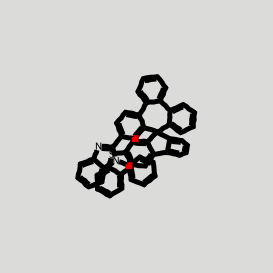 c1ccc(-n2c(-c3ccc4c(c3)C3(c5ccccc5-c5ccccc5-4)c4ccccc4-c4cc5c(cc43)sc3ccccc35)nc3ccccc32)cc1